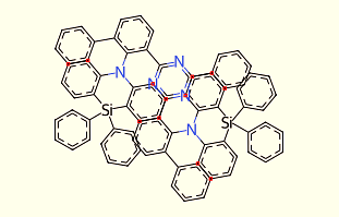 c1ccc(-c2nc(-c3cccc(-c4ccccc4)c3N3c4ccccc4[Si](c4ccccc4)(c4ccccc4)c4ccccc43)nc(-c3cccc(-c4ccccc4)c3N3c4ccccc4[Si](c4ccccc4)(c4ccccc4)c4ccccc43)n2)cc1